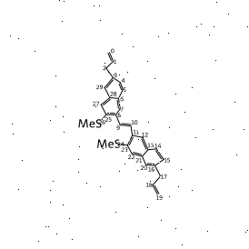 C=CCc1ccc2cc(/C=C/c3cc4ccc(CC=C)cc4cc3SC)c(SC)cc2c1